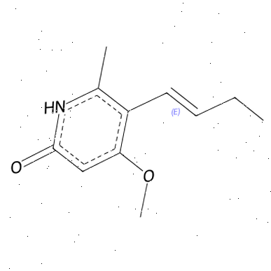 CC/C=C/c1c(OC)cc(=O)[nH]c1C